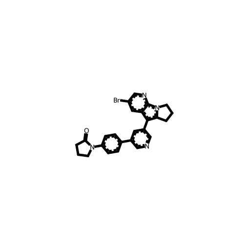 O=C1CCCN1c1ccc(-c2cncc(-c3c4n(c5ncc(Br)cc35)CCC4)c2)cc1